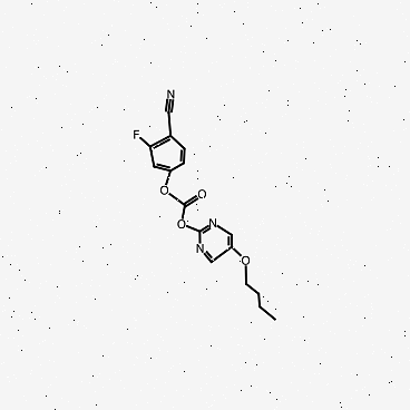 CCCCOc1cnc(OC(=O)Oc2ccc(C#N)c(F)c2)nc1